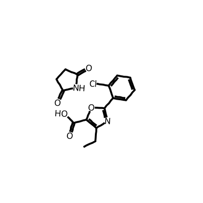 CCc1nc(-c2ccccc2Cl)oc1C(=O)O.O=C1CCC(=O)N1